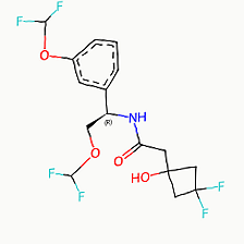 O=C(CC1(O)CC(F)(F)C1)N[C@@H](COC(F)F)c1cccc(OC(F)F)c1